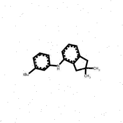 CC1(C)Cc2cccc(Nc3cccc(C(C)(C)C)c3)c2C1